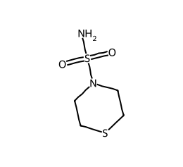 NS(=O)(=O)N1CCSCC1